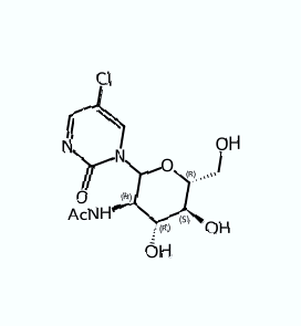 CC(=O)N[C@H]1C(n2cc(Cl)cnc2=O)O[C@H](CO)[C@@H](O)[C@@H]1O